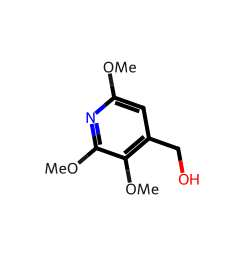 COc1cc(CO)c(OC)c(OC)n1